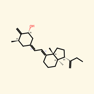 C=C1[C@H](C)C/C(=C/C=C2\CCC[C@]3(C)[C@@H](C(=C)CC)CC[C@@]23C)C[C@H]1O